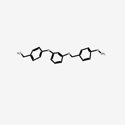 CCc1ccc(Oc2cccc(OCc3ccc(OC)cc3)c2)cc1